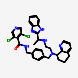 CC(NCCN(Cc1ccc(CNC(=O)c2c(Cl)cncc2Cl)cc1)C1CCCc2cccnc21)c1nc2ccccc2[nH]1